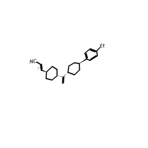 C=C([C@H]1CC[C@H](/C=C/C#N)CC1)[C@H]1CC[C@H](c2ccc(CC)cc2)CC1